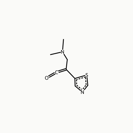 CN(C)CC(=C=O)c1cncs1